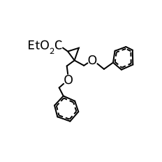 CCOC(=O)C1CC1(COCc1ccccc1)COCc1ccccc1